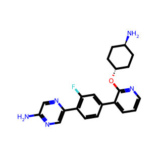 Nc1cnc(-c2ccc(-c3cccnc3O[C@H]3CC[C@H](N)CC3)cc2F)cn1